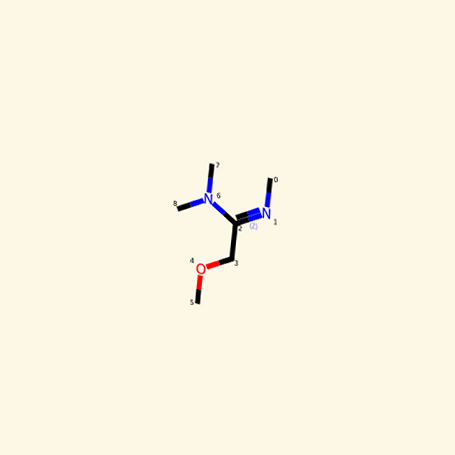 C/N=C(/COC)N(C)C